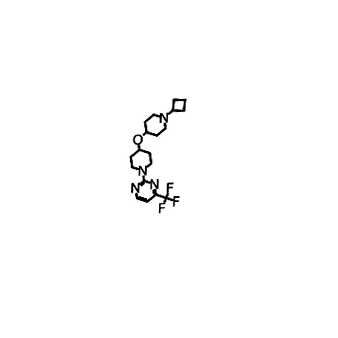 FC(F)(F)c1ccnc(N2CCC(OC3CCN(C4CCC4)CC3)CC2)n1